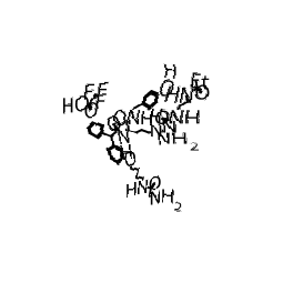 CCC(=O)NCCNC(=O)/N=C(/N)NCCC[C@@H](NC(=O)C(c1ccccc1)c1cccc(OCCCCNC(=O)CN)c1)C(=O)NCc1ccc(O)cc1.O=C(O)C(F)(F)F